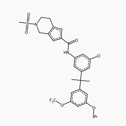 CC(C)Oc1cc(OC(F)(F)F)cc(C(C)(C)c2cc(Cl)cc(NC(=O)c3cc4c(s3)CCN(S(C)(=O)=O)C4)c2)c1